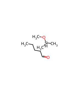 CCCCC=O.CO[SiH](C)C